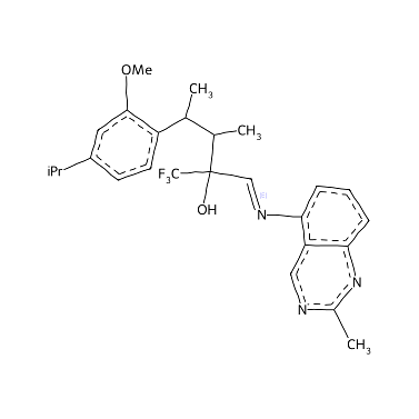 COc1cc(C(C)C)ccc1C(C)C(C)C(O)(/C=N/c1cccc2nc(C)ncc12)C(F)(F)F